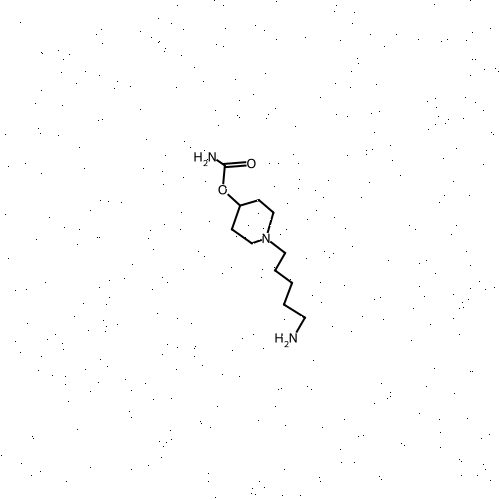 NCCCCCN1CCC(OC(N)=O)CC1